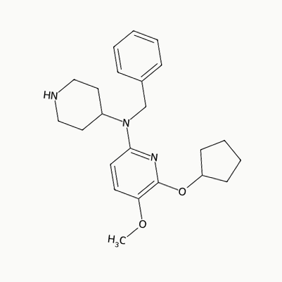 COc1ccc(N(Cc2ccccc2)C2CCNCC2)nc1OC1CCCC1